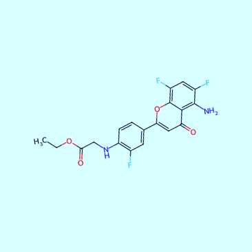 CCOC(=O)CNc1ccc(-c2cc(=O)c3c(N)c(F)cc(F)c3o2)cc1F